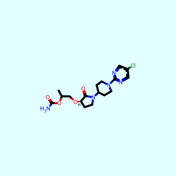 CC(CO[C@@H]1CCN(C2CCN(c3ncc(Cl)cn3)CC2)C1=O)OC(N)=O